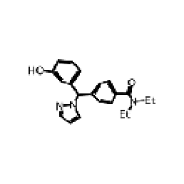 CCN(CC)C(=O)c1ccc(C(c2cccc(O)c2)n2cccn2)cc1